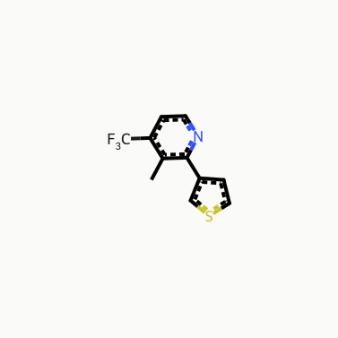 Cc1c(C(F)(F)F)ccnc1-c1ccsc1